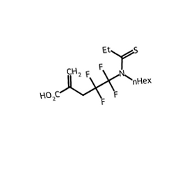 C=C(CC(F)(F)C(F)(F)N(CCCCCC)C(=S)CC)C(=O)O